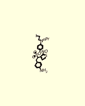 CCCN(CCI)c1ccc(OS(=O)(=O)C(Cc2ccc(N)cc2)c2ccsc2N=O)cc1